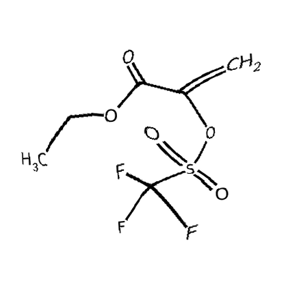 C=C(OS(=O)(=O)C(F)(F)F)C(=O)OCC